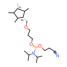 CC1C(C)[C@@H](COCCCOP(OCCC#N)N(C(C)C)C(C)C)C(C)[C@H]1C